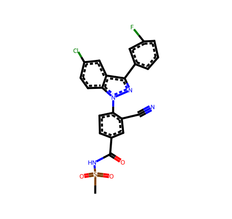 CS(=O)(=O)NC(=O)c1ccc(-n2nc(-c3cccc(F)c3)c3cc(Cl)ccc32)c(C#N)c1